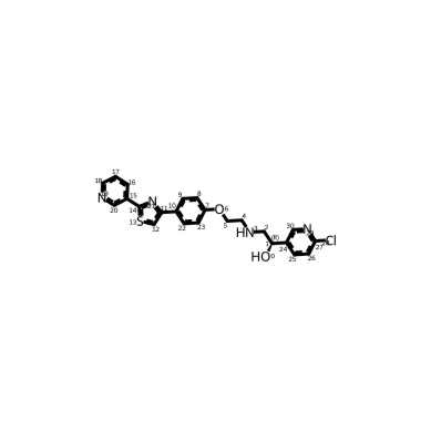 O[C@@H](CNCCOc1ccc(-c2csc(-c3cccnc3)n2)cc1)c1ccc(Cl)nc1